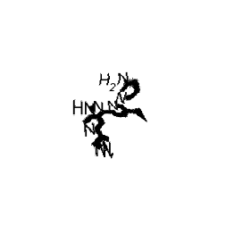 Cn1cc(-c2cc3c(-c4ccc(C5CC5)c(N5CCC[C@H](N)C5)n4)n[nH]c3cn2)cn1